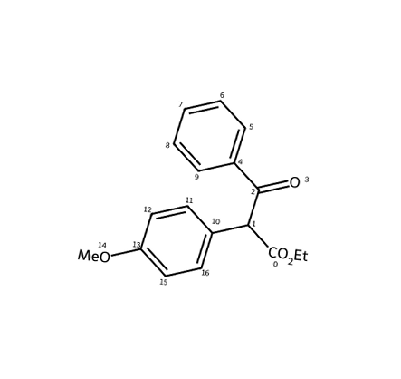 CCOC(=O)C(C(=O)c1ccccc1)c1ccc(OC)cc1